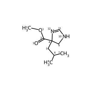 COC(=O)C1(CC(C)C)CNC=N1